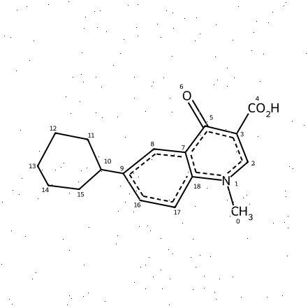 Cn1cc(C(=O)O)c(=O)c2cc(C3CCCCC3)ccc21